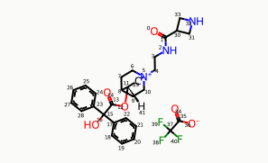 O=C(NCC[N+]12CCC(CC1)[C@@H](OC(=O)C(O)(c1ccccc1)c1ccccc1)C2)C1CNC1.O=C([O-])C(F)(F)F